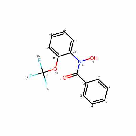 O=C(c1ccccc1)N(O)c1ccccc1OC(F)(F)F